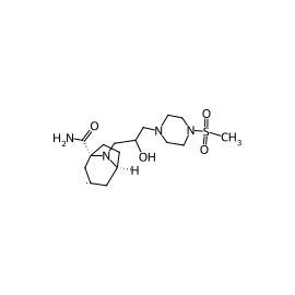 CS(=O)(=O)N1CCN(CC(O)CN2[C@@H]3C[CH]C[C@@]2(C(N)=O)CC3)CC1